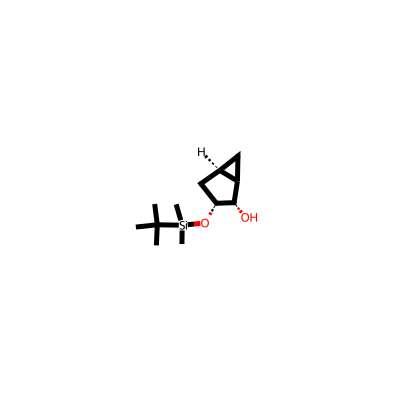 CC(C)(C)[Si](C)(C)O[C@@H]1C[C@H]2CC2[C@@H]1O